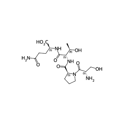 C[C@@H](O)[C@H](NC(=O)[C@@H]1CCCN1C(=O)[C@@H](N)CO)C(=O)N[C@@H](CCC(N)=O)C(=O)O